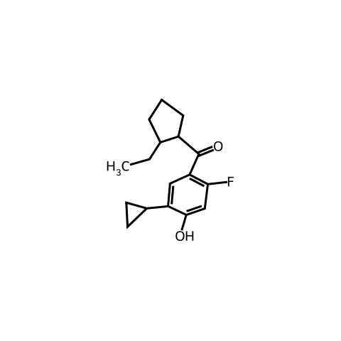 CCC1CCCC1C(=O)c1cc(C2CC2)c(O)cc1F